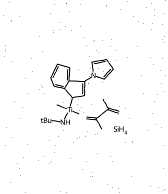 C=C(C)C(=C)C.CC(C)(C)[NH][Ti]([CH3])([CH3])[CH]1C=C(n2cccc2)c2ccccc21.[SiH4]